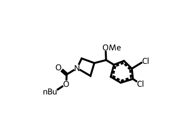 CCCCOC(=O)N1CC(C(OC)c2ccc(Cl)c(Cl)c2)C1